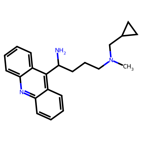 CN(CCCC(N)c1c2ccccc2nc2ccccc12)CC1CC1